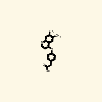 Cc1cc2nccc(Oc3ccc(CC(=O)O)cc3)c2cc1C